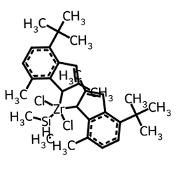 CC1=Cc2c(C(C)(C)C)ccc(C)c2[CH]1[Zr]([Cl])([Cl])([CH]1C(C)=Cc2c(C(C)(C)C)ccc(C)c21)[SiH](C)C